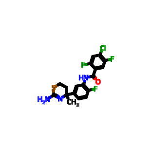 CC1(c2ccc(F)c(NC(=O)c3cc(F)c(Cl)cc3F)c2)CCSC(N)=N1